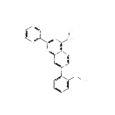 CNc1nc(-c2cnccn2)nc2cc(-c3ccccc3OC)ccc12